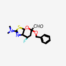 CN(C)C1=NC2C(F)CC(C=O)(OCc3ccccc3)OC2S1